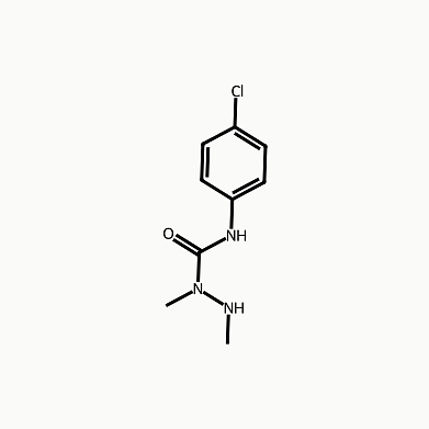 CNN(C)C(=O)Nc1ccc(Cl)cc1